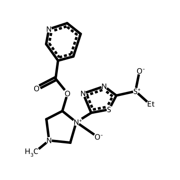 CC[S+]([O-])c1nnc([N+]2([O-])CN(C)CC2OC(=O)c2cccnc2)s1